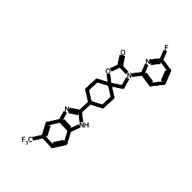 O=C1OC2(CCC(c3nc4cc(C(F)(F)F)ccc4[nH]3)CC2)CN1c1cccc(F)n1